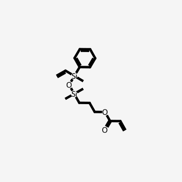 C=CC(=O)OCCC[Si](C)(C)O[Si](C)(C=C)c1ccccc1